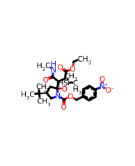 CCOC(=O)CC(C(=O)NC)[C@@]1(O[SiH](C)C)C[C@H](C(C)(C)C)CN1C(=O)OCc1ccc([N+](=O)[O-])cc1